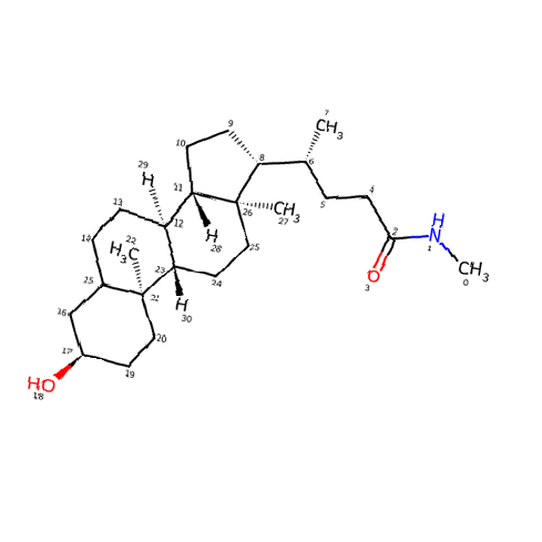 CNC(=O)CC[C@@H](C)[C@H]1CC[C@H]2[C@@H]3CCC4C[C@H](O)CC[C@]4(C)[C@H]3CC[C@]12C